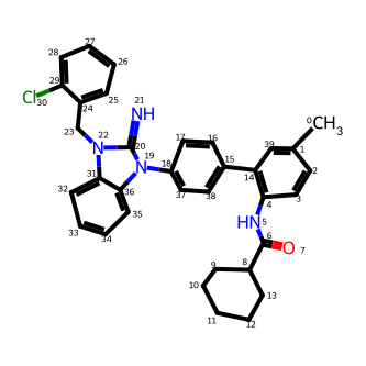 Cc1ccc(NC(=O)C2CCCCC2)c(-c2ccc(-n3c(=N)n(Cc4ccccc4Cl)c4ccccc43)cc2)c1